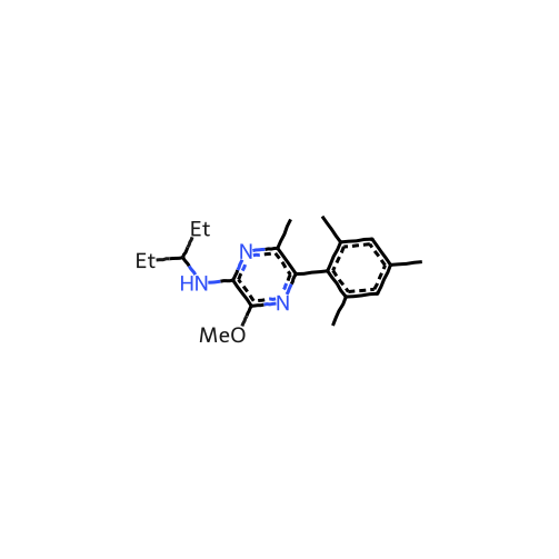 CCC(CC)Nc1nc(C)c(-c2c(C)cc(C)cc2C)nc1OC